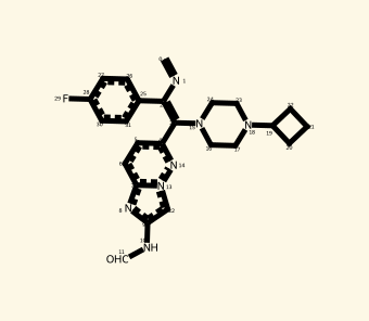 C=N/C(=C(/c1ccc2nc(NC=O)cn2n1)N1CCN(C2CCC2)CC1)c1ccc(F)cc1